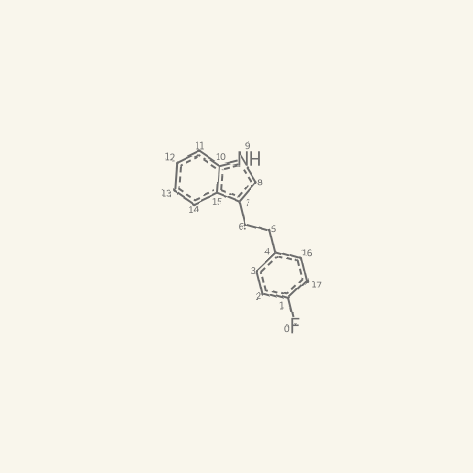 Fc1ccc(C[CH]c2c[nH]c3ccccc23)cc1